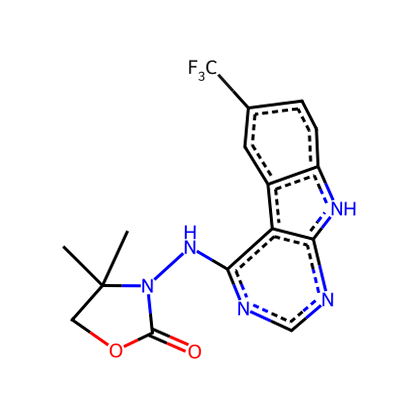 CC1(C)COC(=O)N1Nc1ncnc2[nH]c3ccc(C(F)(F)F)cc3c12